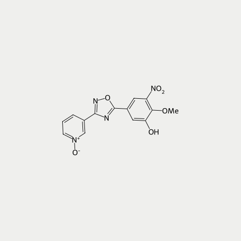 COc1c(O)cc(-c2nc(-c3ccc[n+]([O-])c3)no2)cc1[N+](=O)[O-]